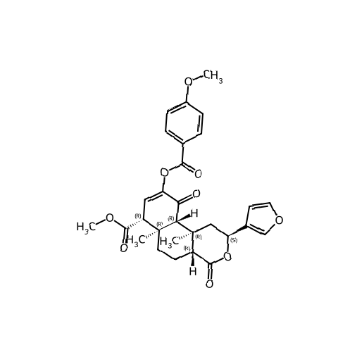 COC(=O)[C@@H]1C=C(OC(=O)c2ccc(OC)cc2)C(=O)[C@H]2[C@@]1(C)CC[C@H]1C(=O)O[C@H](c3ccoc3)C[C@]21C